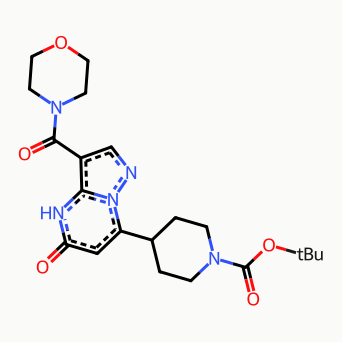 CC(C)(C)OC(=O)N1CCC(c2cc(=O)[nH]c3c(C(=O)N4CCOCC4)cnn23)CC1